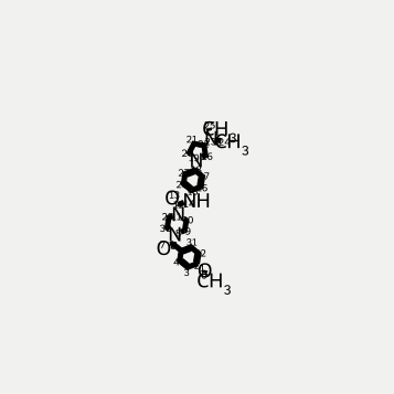 COc1ccc(C(=O)N2CCN(C(=O)Nc3ccc(N4CC[C@@H](N(C)C)C4)cc3)CC2)cc1